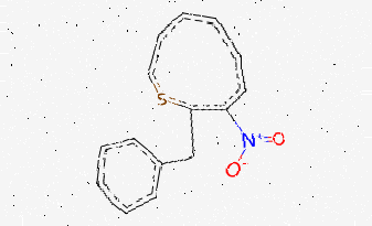 O=[N+]([O-])c1ccccccsc1Cc1ccccc1